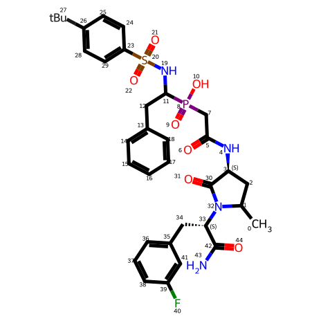 CC1C[C@H](NC(=O)CP(=O)(O)C(Cc2ccccc2)NS(=O)(=O)c2ccc(C(C)(C)C)cc2)C(=O)N1[C@@H](Cc1cccc(F)c1)C(N)=O